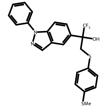 CSc1ccc(SCC(O)(c2ccc3c(cnn3-c3ccccc3)c2)C(F)(F)F)cc1